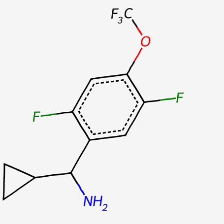 NC(c1cc(F)c(OC(F)(F)F)cc1F)C1CC1